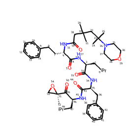 CC(C)C[C@H](NC(=O)[C@H](CCc1ccccc1)NC(=O)CC(C)(C)CC(C)(C)N1CCOCC1)C(=O)N[C@@H](Cc1ccccc1)C(=O)N[C@@H](CC(C)C)C(=O)[C@@]1(C)CO1